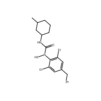 CCc1cc(CC(C)C)cc(CC)c1N(S)C(=O)NC1CCCC(C)C1